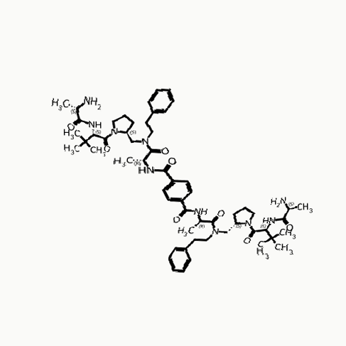 C[C@H](N)C(=O)N[C@H](C(=O)N1CCC[C@H]1CN(CCc1ccccc1)C(=O)[C@@H](C)NC(=O)c1ccc(C(=O)N[C@H](C)C(=O)N(CCc2ccccc2)C[C@@H]2CCCN2C(=O)[C@@H](NC(=O)[C@H](C)N)C(C)(C)C)cc1)C(C)(C)C